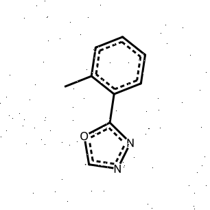 Cc1ccccc1-c1nn[c]o1